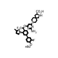 CCCCOc1ccc(-c2ccc(C(Oc3cc(N4CCC5(CC4)CN[C@H](C(=O)O)C5)nc(N)n3)C(F)(F)F)c(-n3ccc(C)n3)c2)cc1F